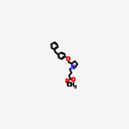 COC(=O)CCCN1CCCC1COc1ccc(Cc2ccccc2)cc1